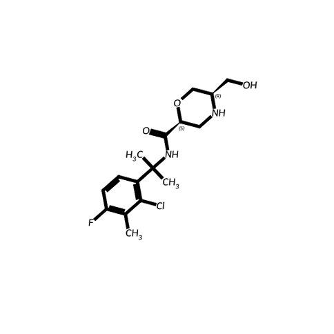 Cc1c(F)ccc(C(C)(C)NC(=O)[C@@H]2CN[C@H](CO)CO2)c1Cl